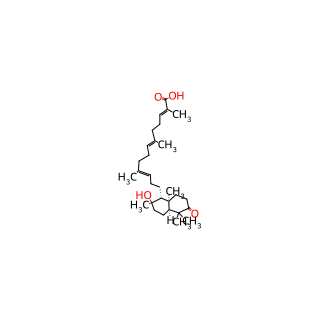 C/C(=C\CC/C(C)=C/CC[C@@H]1[C@@]2(C)CCC(=O)C(C)(C)[C@H]2CC[C@@]1(C)O)CC/C=C(\C)C(=O)O